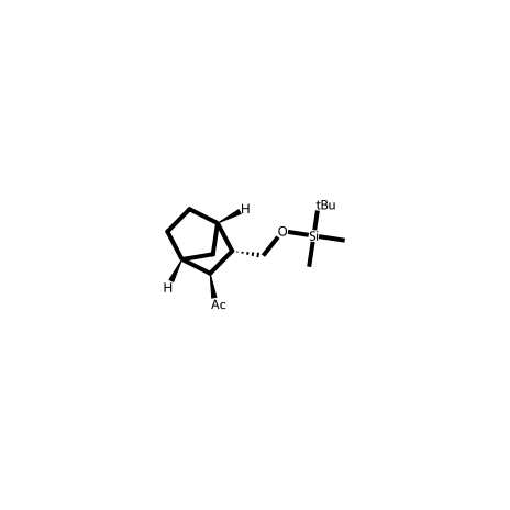 CC(=O)[C@H]1[C@@H]2CC[C@@H](C2)[C@@H]1CO[Si](C)(C)C(C)(C)C